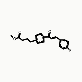 COC(=O)CCCc1ccc(C(=O)C=Cc2ccc(F)cc2)cc1